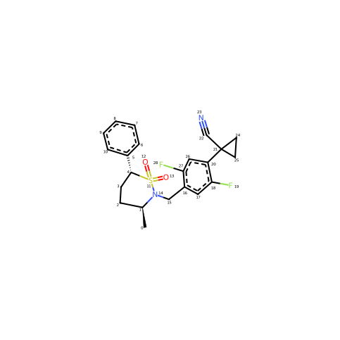 C[C@H]1CC[C@H](c2ccccc2)S(=O)(=O)N1Cc1cc(F)c(C2(C#N)CC2)cc1F